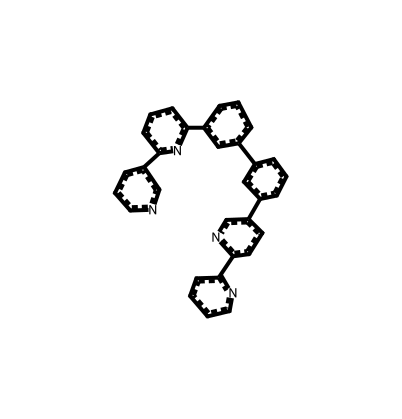 c1ccc(-c2ccc(-c3cccc(-c4cccc(-c5cccc(-c6cccnc6)n5)c4)c3)cn2)nc1